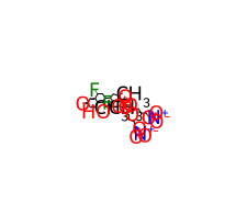 C[C@@H]1CC2C3C[C@H](F)C4=CC(=O)C=C[C@]4(C)[C@@]3(F)[C@@H](O)C[C@]2(C)[C@@]1(OC(=O)CCCCCO[N+](=O)[O-])C(=O)COC(=O)CCCO[N+](=O)[O-]